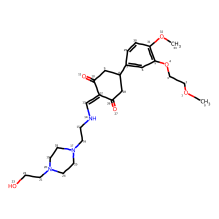 COCCOc1cc(C2CC(=O)C(=CNCCN3CCN(CCO)CC3)C(=O)C2)ccc1OC